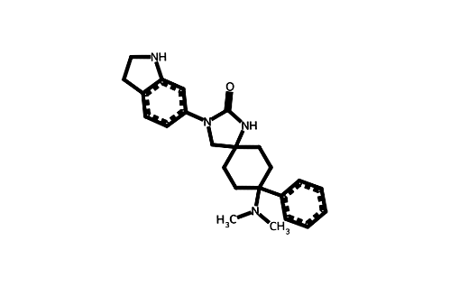 CN(C)C1(c2ccccc2)CCC2(CC1)CN(c1ccc3c(c1)NCC3)C(=O)N2